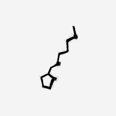 COCCCNCC1CCCO1